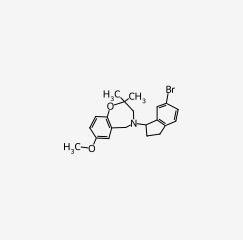 COc1ccc2c(c1)CN(C1CCc3ccc(Br)cc31)CC(C)(C)O2